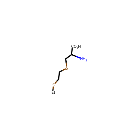 CCSCCSCC(N)C(=O)O